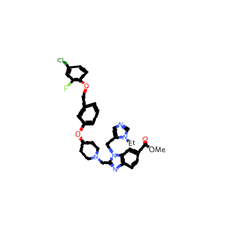 CCn1cncc1Cn1c(CN2CCC(Oc3cccc(COc4ccc(Cl)cc4F)c3)CC2)nc2ccc(C(=O)OC)cc21